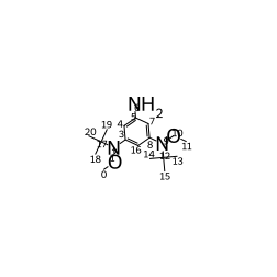 CON(c1cc(N)cc(N(OC)C(C)(C)C)c1)C(C)(C)C